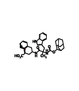 CC(Cc1c[nH]c2ccccc12)(NC(=O)OC1C2CC3CC(C2)CC1C3)C(=O)NC(CC(=S=O)C(=O)O)Cc1ccccc1